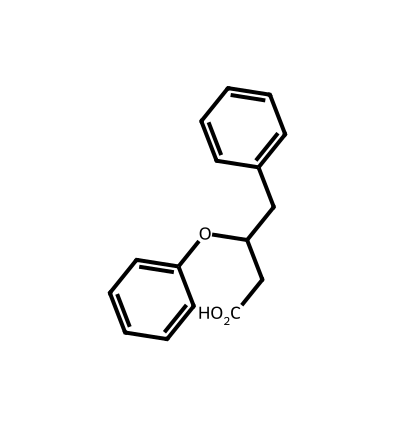 O=C(O)CC(Cc1ccccc1)Oc1ccccc1